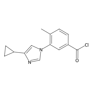 Cc1ccc(C(=O)Cl)cc1-n1cnc(C2CC2)c1